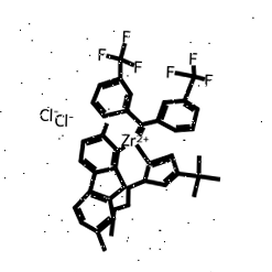 CCCCC1C=C(C(C)(C)C)C=[C]1[Zr+2](=[C](c1cccc(C(F)(F)F)c1)c1cccc(C(F)(F)F)c1)[c]1c(C)ccc2c1Cc1cc(C)ccc1-2.[Cl-].[Cl-]